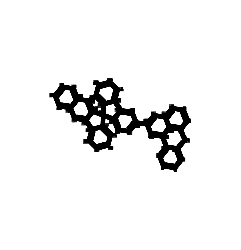 c1ccc2c(c1)Sc1cccc3cc(-c4ccc5c(c4)-c4ccccc4C54c5ccccc5-c5cc6ccccc6cc54)cc-2c13